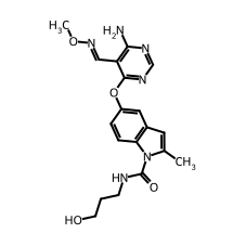 CON=Cc1c(N)ncnc1Oc1ccc2c(c1)cc(C)n2C(=O)NCCCO